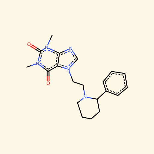 Cn1c(=O)c2c(ncn2CCN2CCCCC2c2ccccc2)n(C)c1=O